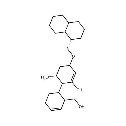 C[C@@H]1CC(OC[C@H]2CCCC3CCCCC32)C=C(O)C1C1CCC=CC1CO